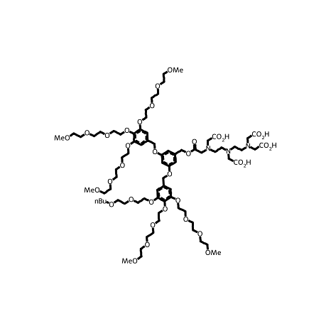 CCCCOCCOCCOc1cc(COc2cc(COC(=O)CN(CCN(CCN(CC(=O)O)CC(=O)O)CC(=O)O)CC(=O)O)cc(OCc3cc(OCCOCCOCCOC)c(OCCOCCOCCOC)c(OCCOCCOCCOC)c3)c2)cc(OCCOCCOCCOC)c1OCCOCCOCCOC